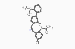 CC(=O)N1Cc2cc(-c3ccccc3[S+](C)[O-])ccc2/C=C\c2cc(Cl)ccc21